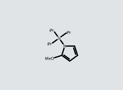 COc1cccn1[Si](C(C)C)(C(C)C)C(C)C